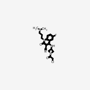 CN(C)CCCn1c(=O)c(C#N)c(NC2CN(C(=O)CCl)C2)c2cc(F)ccc21